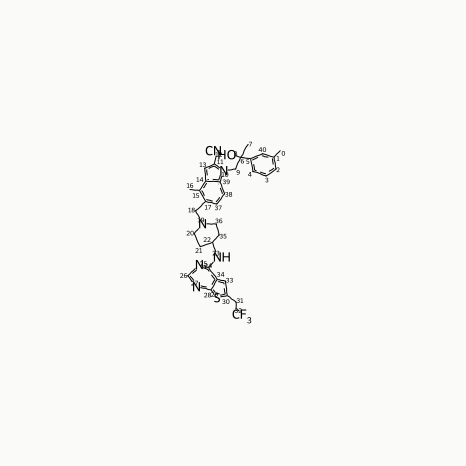 Cc1cccc(C(C)(O)Cn2c(C#N)cc3c(C)c(CN4CCC(Nc5ncnc6sc(CC(F)(F)F)cc56)CC4)ccc32)c1